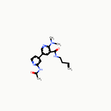 C=CCCNC(=O)c1cc(-c2ccnc(NC(C)=O)c2)cnc1N(C)C